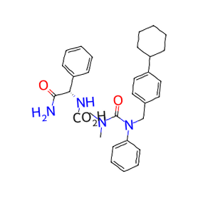 CN(C)C(=O)N(Cc1ccc(C2CCCCC2)cc1)c1ccccc1.NC(=O)[C@@H](NC(=O)O)c1ccccc1